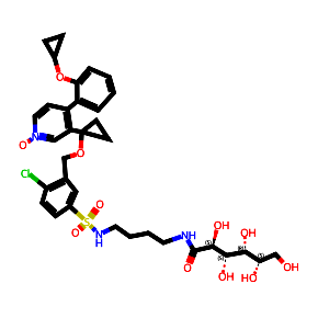 O=C(NCCCCNS(=O)(=O)c1ccc(Cl)c(COC2(c3c[n+]([O-])ccc3-c3ccccc3OC3CC3)CC2)c1)[C@@H](O)[C@@H](O)[C@H](O)[C@@H](O)CO